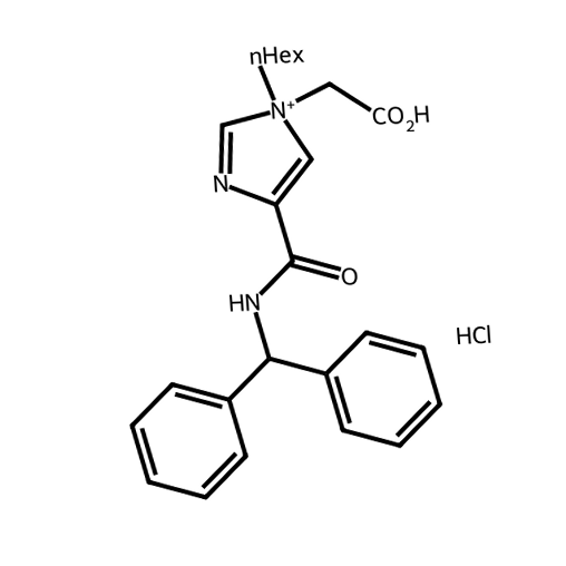 CCCCCC[N+]1(CC(=O)O)C=NC(C(=O)NC(c2ccccc2)c2ccccc2)=C1.Cl